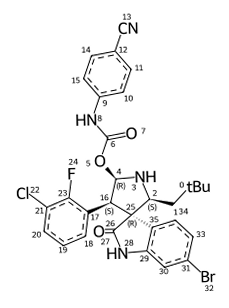 CC(C)(C)C[C@@H]1N[C@H](OC(=O)Nc2ccc(C#N)cc2)[C@H](c2cccc(Cl)c2F)[C@]12C(=O)Nc1cc(Br)ccc12